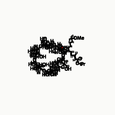 COC(C)(C)CCCC(C)C/C=C/C(C)=C/C(=O)OC(C)C.OC[C@H]1O[C@@H]2O[C@H]3[C@H](O)[C@@H](O)[C@@H](O[C@H]4[C@H](O)[C@@H](O)[C@@H](O[C@H]5[C@H](O)[C@@H](O)[C@@H](O[C@H]6[C@H](O)[C@@H](O)[C@@H](O[C@H]7[C@H](O)[C@@H](O)[C@@H](O[C@H]1[C@H](O)[C@H]2O)O[C@@H]7CO)O[C@@H]6CO)O[C@@H]5CO)O[C@@H]4CO)O[C@@H]3CO